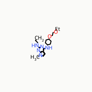 C=CCNc1nc(N[C@H]2CC[C@H](OCCOCC)CC2)c2ccn(C)c2n1